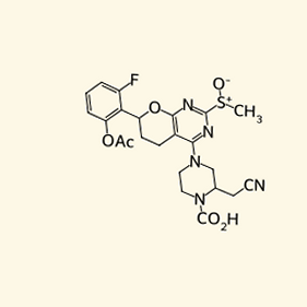 CC(=O)Oc1cccc(F)c1C1CCc2c(nc([S+](C)[O-])nc2N2CCN(C(=O)O)C(CC#N)C2)O1